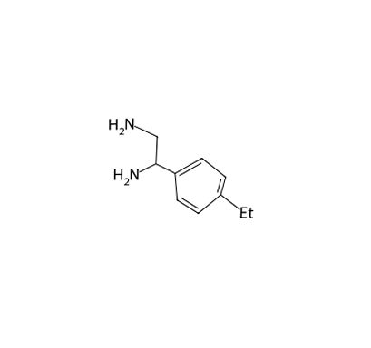 CCc1ccc(C(N)CN)cc1